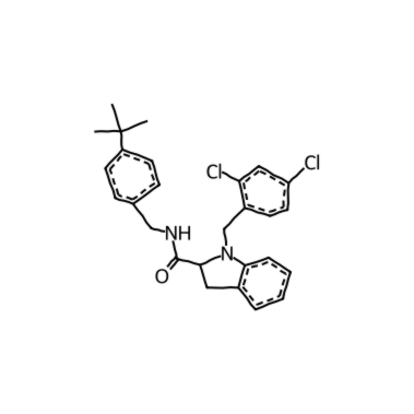 CC(C)(C)c1ccc(CNC(=O)C2Cc3ccccc3N2Cc2ccc(Cl)cc2Cl)cc1